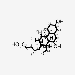 [2H]C1C([2H])[C@]2(C)[C@@H]([C@H](C)CCC(=O)O)CC[C@H]2[C@@H]2[C@H](O)CC3C[C@H](O)CC[C@]3(C)[C@@H]12